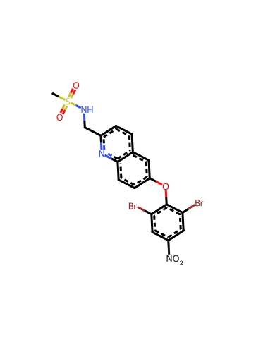 CS(=O)(=O)NCc1ccc2cc(Oc3c(Br)cc([N+](=O)[O-])cc3Br)ccc2n1